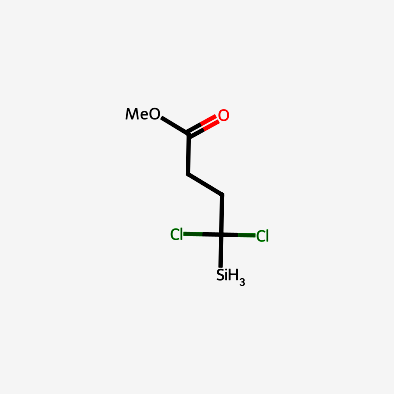 COC(=O)CCC([SiH3])(Cl)Cl